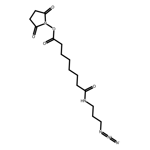 [N-]=[N+]=NCCCNC(=O)CCCCCCC(=O)ON1C(=O)CCC1=O